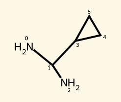 N[C](N)C1CC1